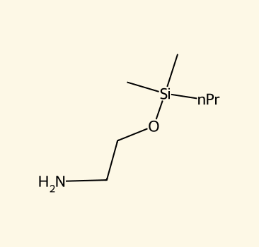 CCC[Si](C)(C)OCCN